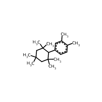 Cc1ccc(C2C(C)(C)CC(C)(C)CC2(C)C)cc1C